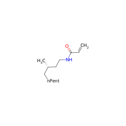 C=CC(=O)NCC[C@@H](C)CCCCCC